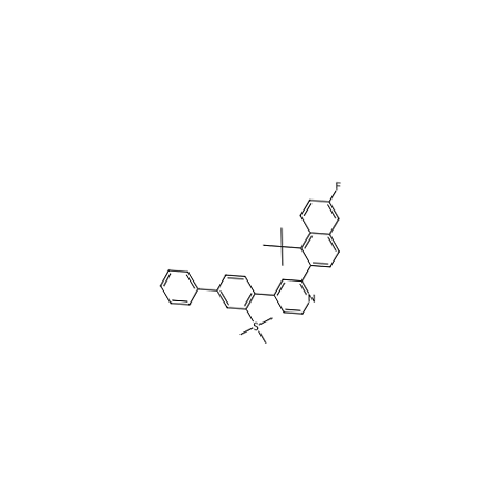 CC(C)(C)c1c(-c2cc(-c3ccc(-c4ccccc4)cc3S(C)(C)C)ccn2)ccc2cc(F)ccc12